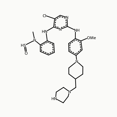 COc1cc(N2CCC(CN3CCNCC3)CC2)ccc1Nc1ncc(Cl)c(Nc2ccccc2N(C)[SH]=O)n1